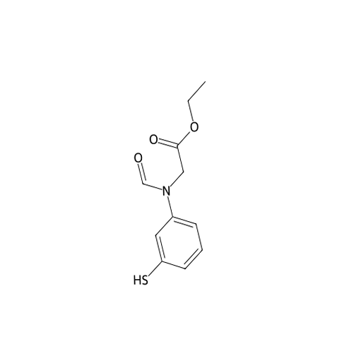 CCOC(=O)CN(C=O)c1cccc(S)c1